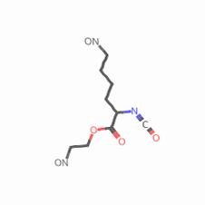 O=C=NC(CCCCN=O)C(=O)OCCN=O